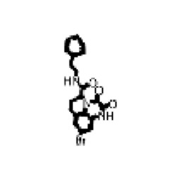 O=C(NCCc1ccccc1)C1CCc2cc(Br)cc3[nH]c(=O)c(=O)n1c23